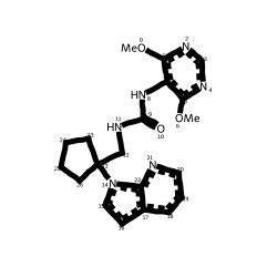 COc1ncnc(OC)c1NC(=O)NCC1(n2ccc3cccnc32)CCCC1